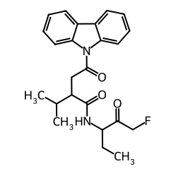 CCC(NC(=O)C(CC(=O)n1c2ccccc2c2ccccc21)C(C)C)C(=O)CF